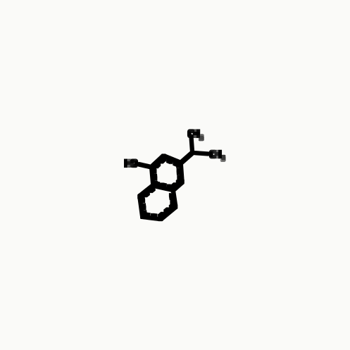 CC(C)c1cc(O)c2ccccc2c1